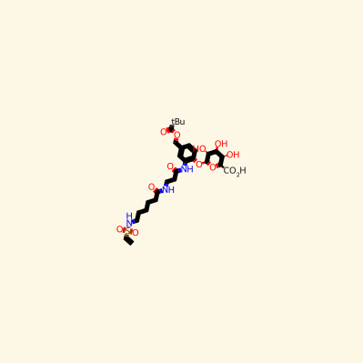 C=CS(=O)(=O)NCCCCCC(=O)NCCC(=O)Nc1cc(COC(=O)C(C)(C)C)ccc1O[C@@H]1O[C@H](C(=O)O)[C@@H](O)[C@H](O)[C@H]1O